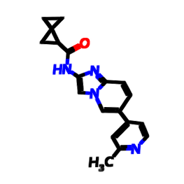 Cc1cc(-c2ccc3nc(NC(=O)C4CC45CC5)cn3c2)ccn1